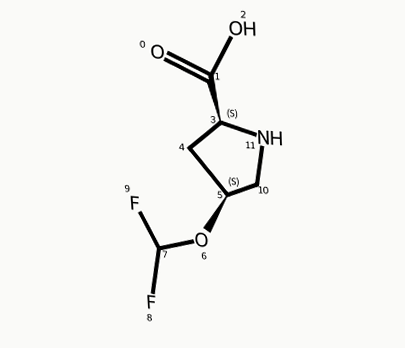 O=C(O)[C@@H]1C[C@H](OC(F)F)CN1